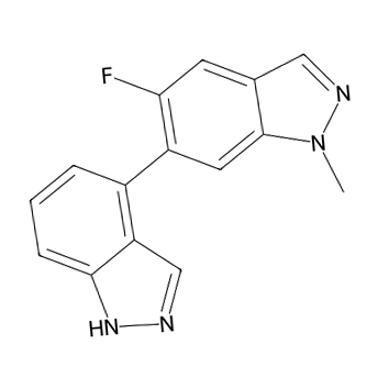 Cn1ncc2cc(F)c(-c3cccc4[nH]ncc34)cc21